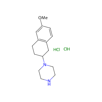 COc1ccc2c(c1)CCC(N1CCNCC1)C2.Cl.Cl